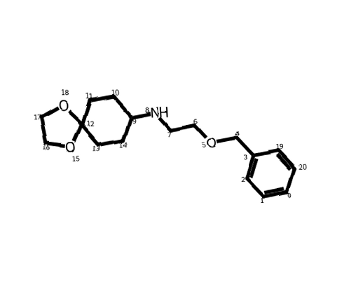 c1ccc(COCCNC2CCC3(CC2)OCCO3)cc1